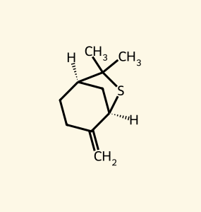 C=C1CC[C@@H]2C[C@H]1SC2(C)C